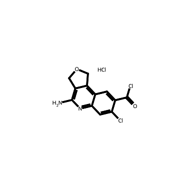 Cl.Nc1nc2cc(Cl)c(C(=O)Cl)cc2c2c1COC2